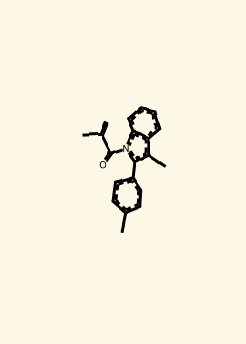 C=C(C)C(=O)n1c(-c2ccc(C)cc2)c(C)c2ccccc21